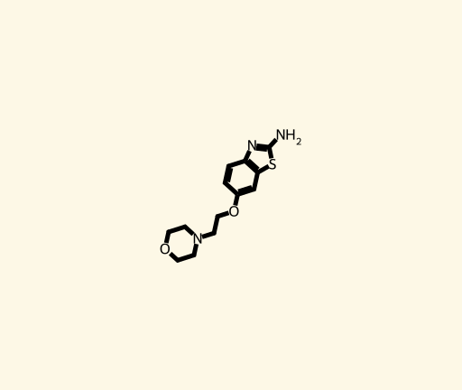 Nc1nc2ccc(OCCN3CCOCC3)cc2s1